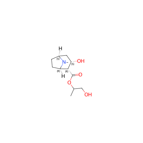 CC(CO)OC(=O)[C@@H]1[C@H]2CC[C@@H](C[C@@H]1O)N2C